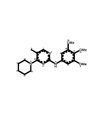 COc1cc(Nc2ncc(C)c(N3CCCCC3)n2)cc(OC)c1OC